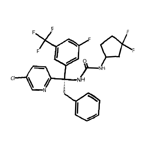 O=C(NC1CCC(F)(F)C1)N[C@](Cc1ccccc1)(c1cc(F)cc(C(F)(F)F)c1)c1ccc(Cl)cn1